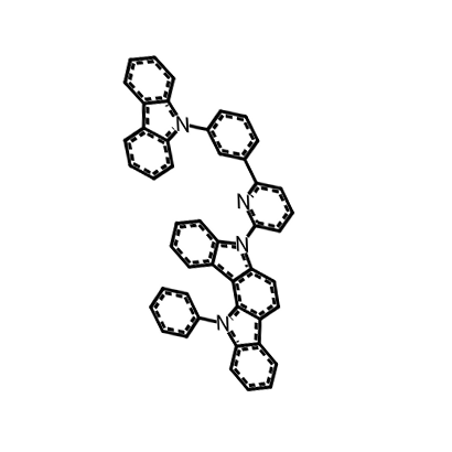 c1ccc(-n2c3ccccc3c3ccc4c(c5ccccc5n4-c4cccc(-c5cccc(-n6c7ccccc7c7ccccc76)c5)n4)c32)cc1